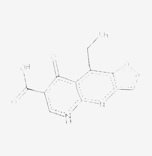 CCc1c2occc2nc2[nH]cc(C(=O)O)c(=O)c12